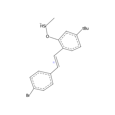 C[SiH](C)Oc1cc(C(C)(C)C)ccc1/C=C/c1ccc(Br)cc1